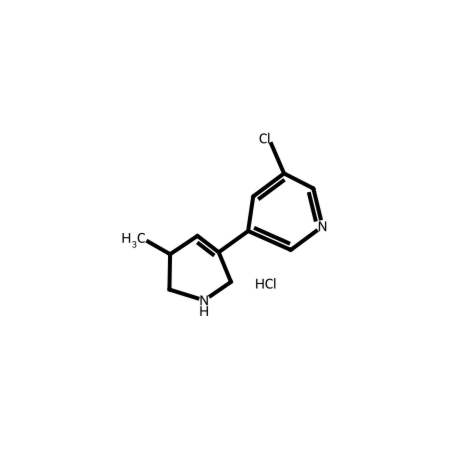 CC1C=C(c2cncc(Cl)c2)CNC1.Cl